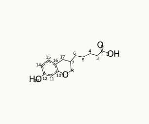 O=C(O)CCCCC1COc2cc(O)ccc2C1